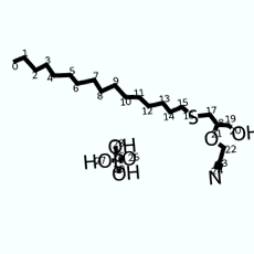 CCCCCCCCCCCCCCCCSCC(CO)OCC#N.O=P(O)(O)O